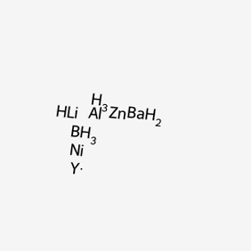 B.[AlH3].[BaH2].[LiH].[Ni].[Y].[Zn]